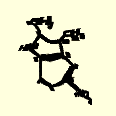 Cc1[nH]c2ccc([N+](=O)[O-])cc2c1C